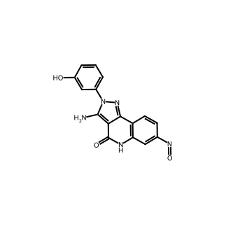 Nc1c2c(=O)[nH]c3cc(N=O)ccc3c2nn1-c1cccc(O)c1